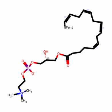 CCCCC/C=C\C/C=C\C/C=C\C/C=C\CCCC(=O)OC[C@@H](O)COP(=O)([O-])OCC[N+](C)(C)C